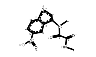 CNC(=O)C(=O)N(C)c1c[nH]c2ccc([N+](=O)[O-])cc12